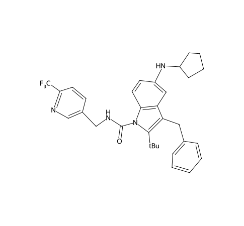 CC(C)(C)c1c(Cc2ccccc2)c2cc(NC3CCCC3)ccc2n1C(=O)NCc1ccc(C(F)(F)F)nc1